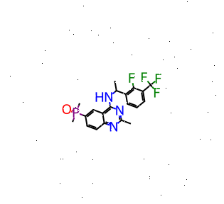 Cc1nc(NC(C)c2cccc(C(F)(F)F)c2F)c2cc(P(C)(C)=O)ccc2n1